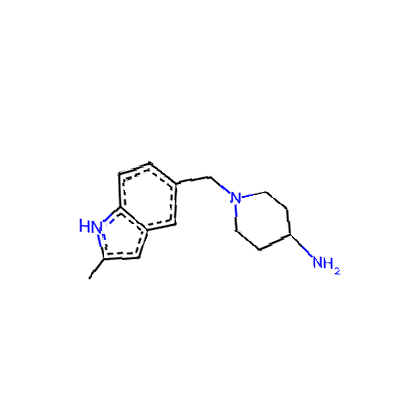 Cc1cc2cc(CN3CCC(N)CC3)ccc2[nH]1